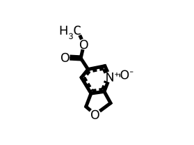 COC(=O)c1cc2c([n+]([O-])c1)COC2